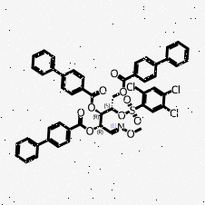 CO/N=C/[C@@H](OC(=O)c1ccc(-c2ccccc2)cc1)[C@@H](OC(=O)c1ccc(-c2ccccc2)cc1)[C@H](COC(=O)c1ccc(-c2ccccc2)cc1)OS(=O)(=O)c1cc(Cl)c(Cl)cc1Cl